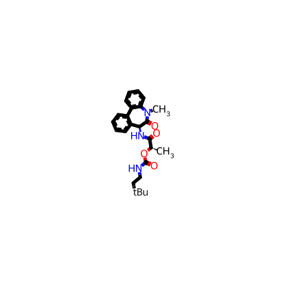 C[C@H](OC(=O)NCCC(C)(C)C)C(=O)N[C@@H]1C(=O)N(C)c2ccccc2-c2ccccc21